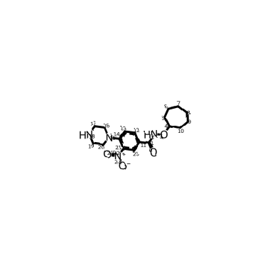 O=C(NOC1CCCCCC1)c1ccc(N2CCNCC2)c([N+](=O)[O-])c1